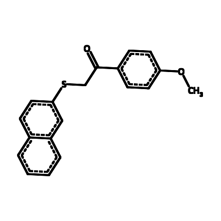 COc1ccc(C(=O)CSc2ccc3ccccc3c2)cc1